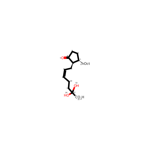 CCCCCCCC[C@H]1CCC(=O)[C@@H]1C/C=C\CCC(O)(O)C(=O)O